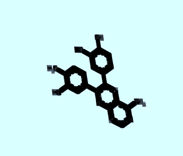 Cc1ccc(-c2nc3ncnc(N)c3nc2-c2ccc(O)c(O)c2)cc1O